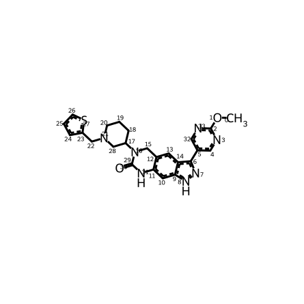 COc1ncc(-c2n[nH]c3cc4c(cc23)CN(C2CCCN(Cc3cccs3)C2)C(=O)N4)cn1